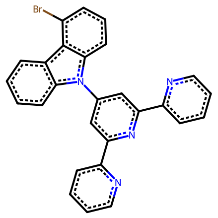 Brc1cccc2c1c1ccccc1n2-c1cc(-c2ccccn2)nc(-c2ccccn2)c1